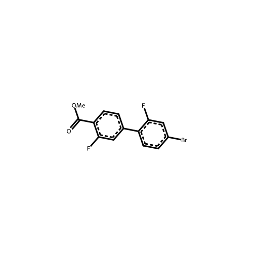 COC(=O)c1ccc(-c2ccc(Br)cc2F)cc1F